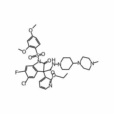 CCOc1ncccc1C1(C(=O)NN2CCC(N3CCN(C)CC3)CC2)C(=O)N(S(=O)(=O)c2ccc(OC)cc2OC)c2cc(F)c(Cl)cc21